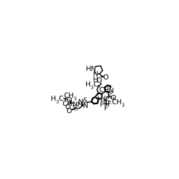 CO[C@@H](C)c1ncccc1-c1c(CC(C)(C)COC(=O)C2CCCNN2)c2cc(-c3nc(C[C@@H](C=O)NC(=O)OC(C)(C)C)ns3)ccc2n1CC(F)(F)F